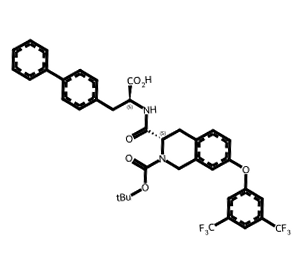 CC(C)(C)OC(=O)N1Cc2cc(Oc3cc(C(F)(F)F)cc(C(F)(F)F)c3)ccc2C[C@H]1C(=O)N[C@@H](Cc1ccc(-c2ccccc2)cc1)C(=O)O